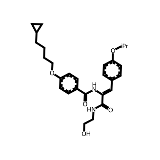 CC(C)Oc1ccc(C=C(NC(=O)c2ccc(OCCCCC3CC3)cc2)C(=O)NCCO)cc1